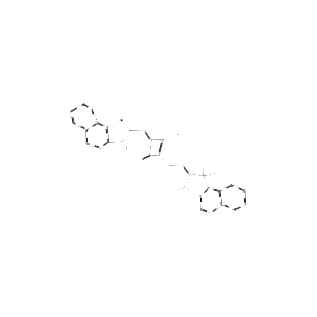 CN1/C(=C\CC2=C(O)/C(=C/C3N(C)c4ccc5ccccc5c4C3(C)C)C2=O)C(C)(C)c2c1ccc1ccccc21